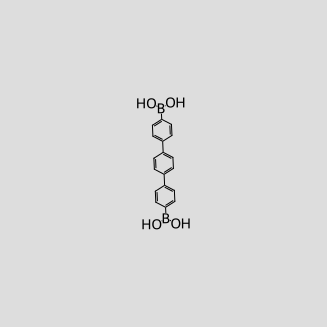 OB(O)c1ccc(-c2ccc(-c3ccc(B(O)O)cc3)cc2)cc1